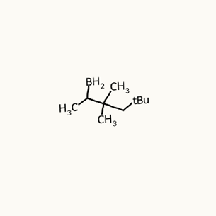 BC(C)C(C)(C)CC(C)(C)C